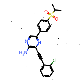 CC(C)S(=O)(=O)c1ccc(-c2cnc(N)c(C#Cc3ccccc3Cl)n2)cc1